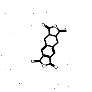 C=C1OC(=O)C2Cc3cc4c(cc3CC12)C(=O)OC4=O